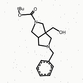 CC(C)(C)OC(=O)N1CC2CN(Cc3ccccc3)CC2(CO)C1